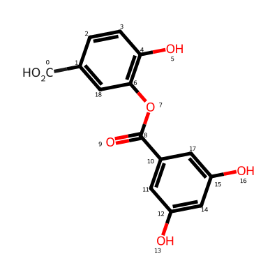 O=C(O)c1ccc(O)c(OC(=O)c2cc(O)cc(O)c2)c1